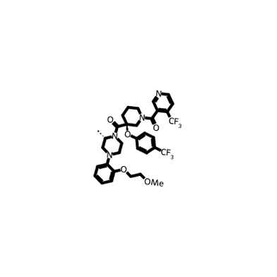 COCCOc1ccccc1N1CCN(C(=O)[C@]2(Oc3ccc(C(F)(F)F)cc3)CCCN(C(=O)c3cnccc3C(F)(F)F)C2)[C@@H](C)C1